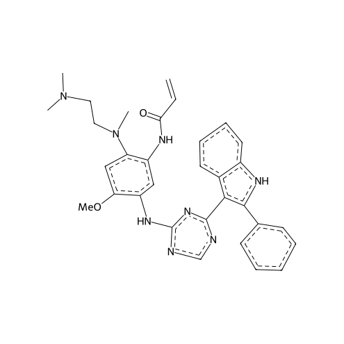 C=CC(=O)Nc1cc(Nc2ncnc(-c3c(-c4ccccc4)[nH]c4ccccc34)n2)c(OC)cc1N(C)CCN(C)C